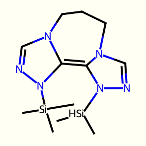 C[SiH](C)N1N=CN2CCCN3C=NN([Si](C)(C)C)C3=C21